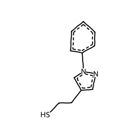 SCCc1cnn(-c2ccccc2)c1